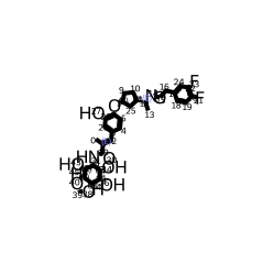 C/C(=C\c1ccc(O[C@H]2CC[C@@H](/C(C)=N/OCc3ccc(F)c(F)c3)C2)c(O)c1)C(=O)N[C@@H]1[C@H](O)[C@@H](O)[C@H]2OCO[C@H]2[C@@H]1O